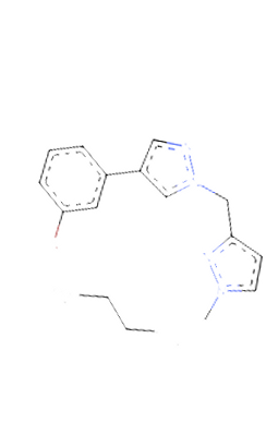 Cn1ccc(Cn2cc(-c3cccc(Br)c3)cn2)n1.O=C(O)CCC(=O)O